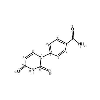 NC(=O)c1ccc(-n2ccc(=O)[nH]c2=O)cc1